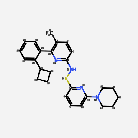 FC(F)(F)c1ccc(NSc2cccc(N3CCCCC3)n2)nc1-c1ccccc1C1CCC1